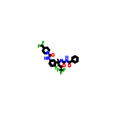 C[C@]1(c2cc(NC(=O)N3CCC(C(F)F)CC3)ccc2F)C[C@@H](C(F)(F)F)OC(NC(=O)c2ccccc2)=N1